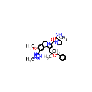 COc1cc2c(cc1-c1nnn(C)n1)-c1c(CC(C)(C)OCc3ccccc3)cc(C(=O)N3CCC[C@]3(C)C(N)=O)n1CC2